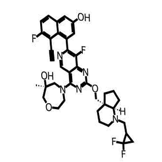 C#Cc1c(F)ccc2cc(O)cc(-c3ncc4c(N5CCOC[C@@](C)(O)C5)nc(OC[C@]56CCC[C@H]5N(CC5CC5(F)F)CCC6)nc4c3F)c12